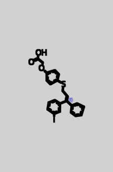 O=C(O)COc1ccc(SC/C=C(/c2ccccc2)c2cccc(I)c2)cc1